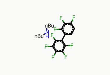 CCCCNCCCC.Fc1ccc(-c2c(F)c(F)c(F)c(F)c2F)c(F)c1F